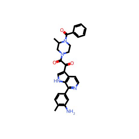 Cc1ccc(-c2nccc3c(C(=O)C(=O)N4CCN(C(=O)c5ccccc5)C(C)C4)c[nH]c23)cc1N